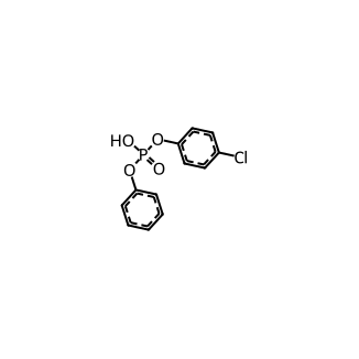 O=P(O)(Oc1ccccc1)Oc1ccc(Cl)cc1